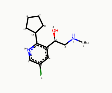 CC(C)(C)NC[C@H](O)c1cc(F)cnc1C1CCCC1